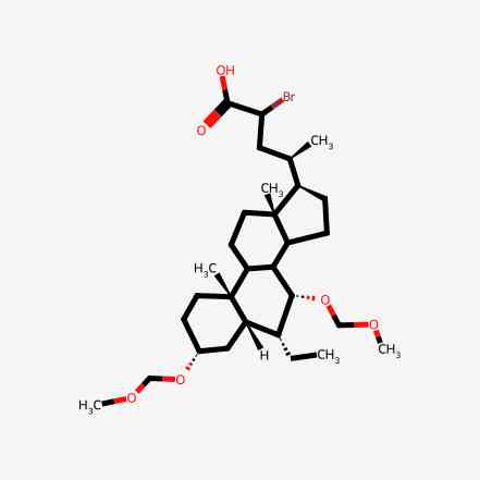 CC[C@H]1[C@@H](OCOC)C2C3CC[C@H]([C@H](C)CC(Br)C(=O)O)[C@@]3(C)CCC2[C@@]2(C)CC[C@@H](OCOC)C[C@@H]12